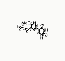 COc1nnc(-c2c[nH]c(=O)[nH]c2=O)cc1[C@H]1C[C@@H]1/C=C/F